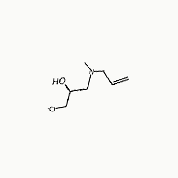 C=CCN(C)CC(O)C[O]